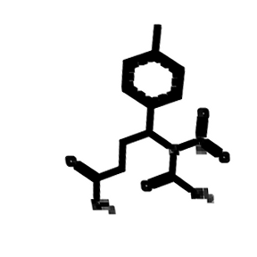 Cc1ccc(C(CCC(N)=O)N(C(N)=O)[SH](=O)=O)cc1